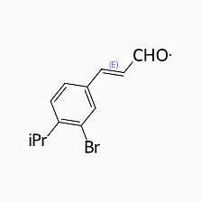 CC(C)c1ccc(/C=C/[C]=O)cc1Br